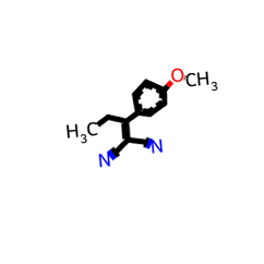 CCC(=C(C#N)C#N)c1ccc(OC)cc1